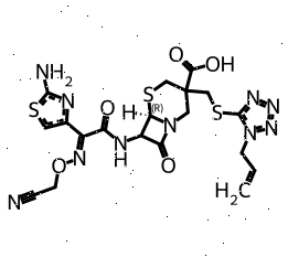 C=CCn1nnnc1SCC1(C(=O)O)CS[C@@H]2C(NC(=O)C(=NOCC#N)c3csc(N)n3)C(=O)N2C1